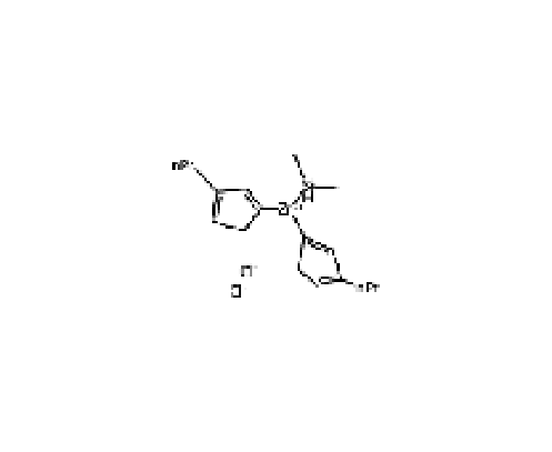 CCCC1=CC[C]([Zr+2]([C]2=CC(CCC)=CC2)[SiH](C)C)=C1.[Cl-].[Cl-]